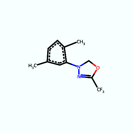 Cc1ccc(C)c(N2COC(C(F)(F)F)=N2)c1